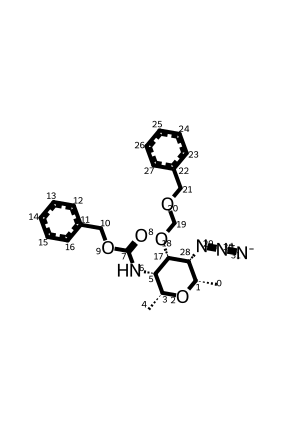 C[C@@H]1O[C@H](C)[C@H](NC(=O)OCc2ccccc2)[C@H](OCOCc2ccccc2)[C@@H]1N=[N+]=[N-]